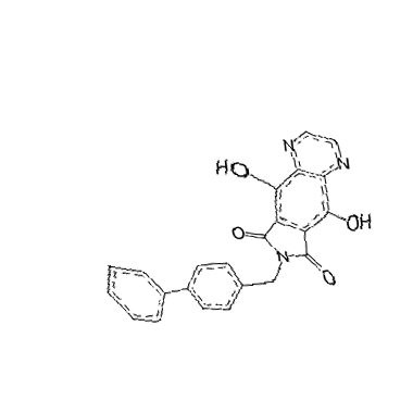 O=C1c2c(c(O)c3nccnc3c2O)C(=O)N1Cc1ccc(-c2ccccc2)cc1